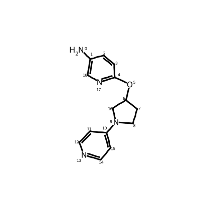 Nc1ccc(OC2CCN(c3ccncc3)C2)nc1